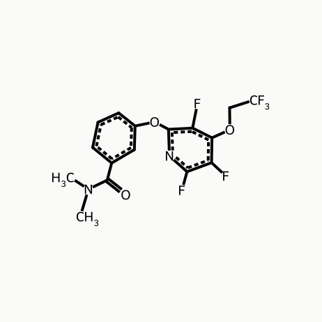 CN(C)C(=O)c1cccc(Oc2nc(F)c(F)c(OCC(F)(F)F)c2F)c1